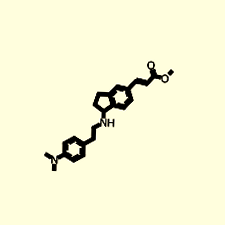 COC(=O)/C=C/c1ccc2c(c1)CCC2NCCc1ccc(N(C)C)cc1